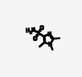 Cc1nc(S(N)(=O)=O)c(C)n1C